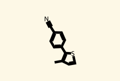 Cc1ccsc1-c1ccc(C#N)cc1